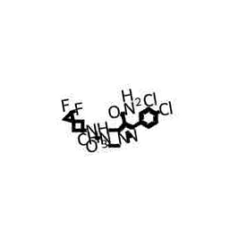 CC1(NC(=O)N2CCn3nc(-c4ccc(Cl)c(Cl)c4)c(C(N)=O)c3C2)CC2(C1)CC2(F)F